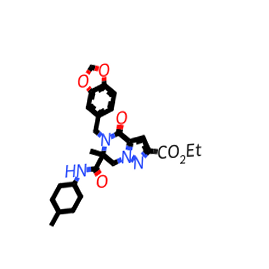 CCOC(=O)c1cc2n(n1)CC(C)(C(=O)NC1CCC(C)CC1)N(Cc1ccc3c(c1)OCO3)C2=O